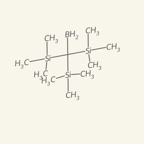 BC([Si](C)(C)C)([Si](C)(C)C)[Si](C)(C)C